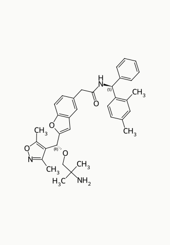 Cc1ccc([C@@H](NC(=O)Cc2ccc3oc([C@H](OCC(C)(C)N)c4c(C)noc4C)cc3c2)c2ccccc2)c(C)c1